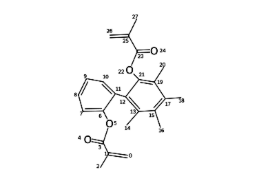 C=C(C)C(=O)Oc1ccccc1-c1c(C)c(C)c(C)c(C)c1OC(=O)C(=C)C